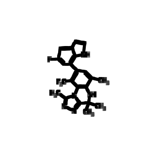 Cc1cc(-c2cc(F)cc3cc[nH]c23)c(C(F)(F)F)c2c1NC(C)(C)c1nnc(C)n1-2